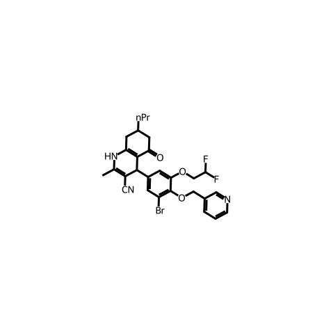 CCCC1CC(=O)C2=C(C1)NC(C)=C(C#N)C2c1cc(Br)c(OCc2cccnc2)c(OCC(F)F)c1